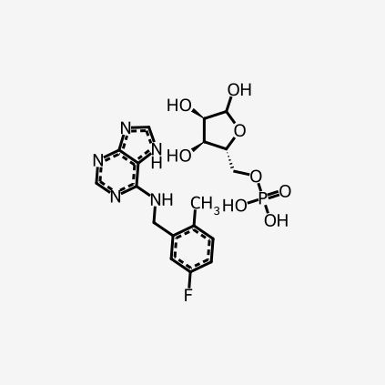 Cc1ccc(F)cc1CNc1ncnc2nc[nH]c12.O=P(O)(O)OC[C@H]1OC(O)[C@H](O)[C@@H]1O